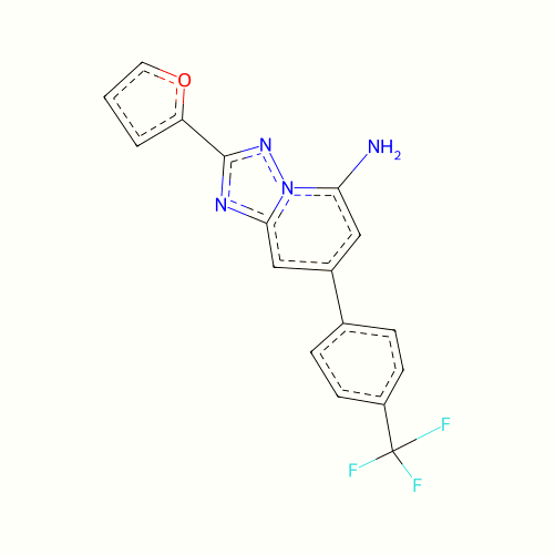 Nc1cc(-c2ccc(C(F)(F)F)cc2)cc2nc(-c3ccco3)nn12